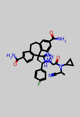 CC(C#N)N(C(=O)CN[C@H](CC1(c2nnn[nH]2)c2ccc(C(N)=O)cc2CCc2cc(C(N)=O)ccc21)c1ccc(F)cc1)C1CC1